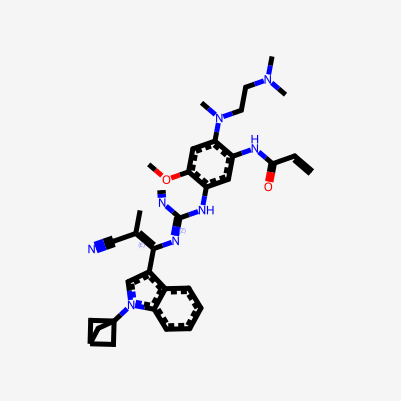 C=CC(=O)Nc1cc(N/C(N=C)=N/C(=C(\C)C#N)c2cn(C34CC(C3)C4)c3ccccc23)c(OC)cc1N(C)CCN(C)C